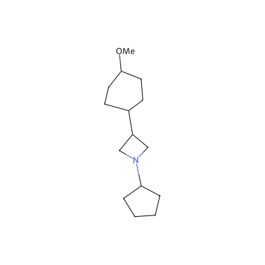 COC1CCC(C2CN(C3CCCC3)C2)CC1